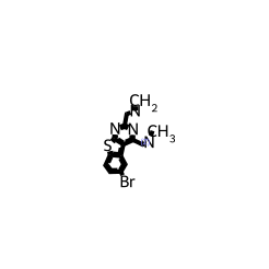 C=NCc1nc(/C=N\C)c2c(n1)sc1ccc(Br)cc12